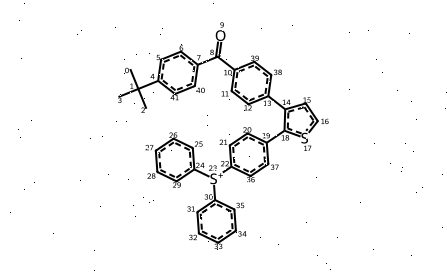 CC(C)(C)c1ccc(C(=O)c2ccc(-c3ccsc3-c3ccc([S+](c4ccccc4)c4ccccc4)cc3)cc2)cc1